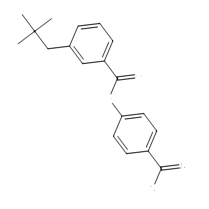 CC(C)(C)Cc1cccc(C(=O)Oc2ccc(C(=N)N)cc2)c1